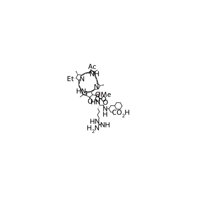 CC[C@H]1c2cc3[nH]c4c(c3C)C(=O)C(C(=O)OC)c4c3nc(cc4[nH]c(cc(n2)[C@@H]1C)c(C(C)=O)c4C)[C@@H](C)[C@@H]3CCC(=O)N[C@@H](CCCCNC(=N)N)C(=O)NC(CC(=O)O)CC1CCCCC1